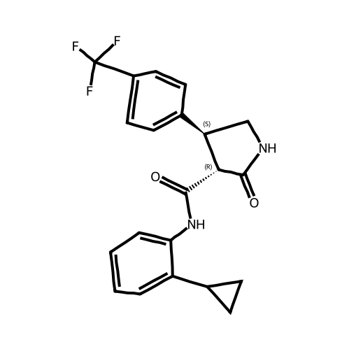 O=C1NC[C@H](c2ccc(C(F)(F)F)cc2)[C@H]1C(=O)Nc1ccccc1C1CC1